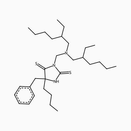 CCCCC(CC)CN(CC(CC)CCCC)CN1C(=S)NC(CCCC)(Cc2ccccc2)C1=S